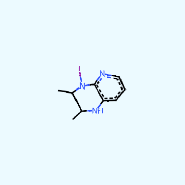 CC1Nc2cccnc2N(I)C1C